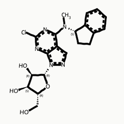 CN(c1nc(Cl)nc2c1cnn2[C@@H]1O[C@H](CO)[C@@H](O)[C@H]1O)[C@H]1CCc2ccccc21